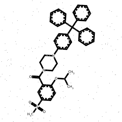 CC(C)Oc1ccc(S(C)(=O)=O)cc1C(=O)N1CCN(c2ccc(C(c3ccccc3)(c3ccccc3)c3ccccc3)cc2)CC1